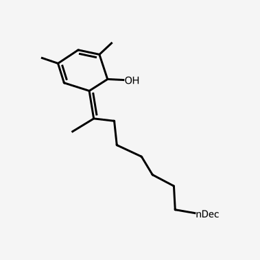 CCCCCCCCCCCCCCCCC(C)=C1C=C(C)C=C(C)C1O